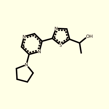 CC(O)c1cnc(-c2cncc(N3CCCC3)n2)s1